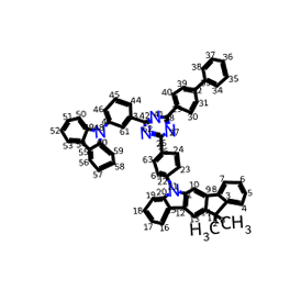 CC1(C)c2ccccc2-c2cc3c(cc21)c1ccccc1n3-c1ccc(-c2nc(-c3ccc(-c4ccccc4)cc3)nc(-c3cccc(-n4c5ccccc5c5ccccc54)c3)n2)cc1